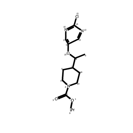 CC(C)OC(=O)N1CCC(C(C)Oc2cnc(Cl)nc2)CC1